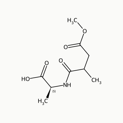 COC(=O)CC(C)C(=O)N[C@@H](C)C(=O)O